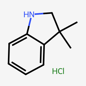 CC1(C)CNc2ccccc21.Cl